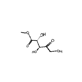 COC(=O)[C@H](O)[C@H](O)C(=O)CO